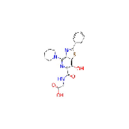 O=C(O)CNC(=O)c1nc(N2CCCCC2)c2nc(-c3ccccc3)sc2c1O